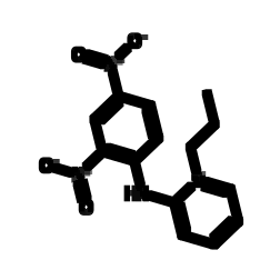 CCC[si]1ccccc1Nc1ccc([N+](=O)[O-])cc1[N+](=O)[O-]